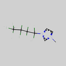 Cn1cc[n+](C(F)(F)C(F)(F)C(F)(F)C(F)(F)F)c1